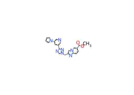 COC(=O)c1ccc2nc(Cn3cnc(-c4cncc(-n5cccc5)c4)n3)cn2c1